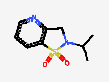 CC(C)N1Cc2ncccc2S1(=O)=O